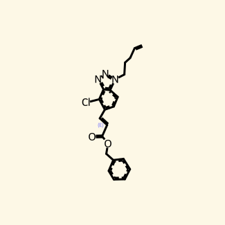 C=CCCCn1nnc2c(Cl)c(/C=C/C(=O)OCc3ccccc3)ccc21